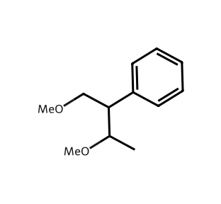 COCC(c1ccccc1)C(C)OC